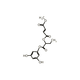 CCC(OC(=O)/C=C/C(=O)OC)C(=O)Oc1cc(O)cc(O)c1